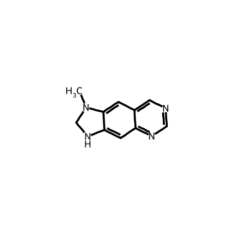 CN1CNc2cc3ncncc3cc21